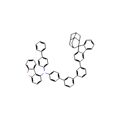 c1ccc(-c2ccc(N(c3ccc(-c4cccc(-c5cccc(-c6ccc7c(c6)-c6ccccc6C76C7CC8CC(C7)CC6C8)c5)c4)cc3)c3cccc4oc5ccccc5c34)cc2)cc1